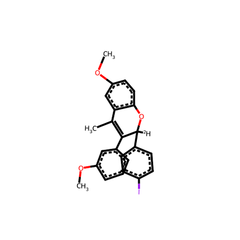 [2H]C1(c2ccc(I)cc2)Oc2ccc(OC)cc2C(C)=C1c1cccc(OC)c1